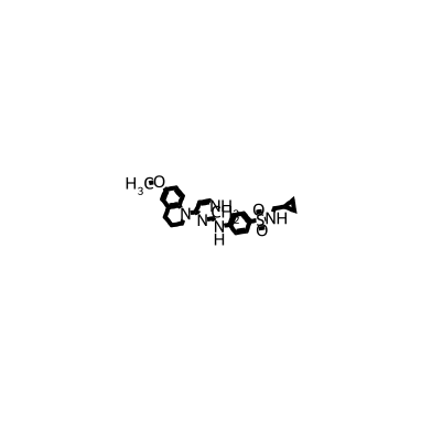 C=C(/N=C(\C=C/N)N1CCCc2cc(OC)ccc21)Nc1ccc(S(=O)(=O)NCC2CC2)cc1